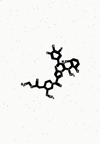 CCOC(=O)CC1CCN(C(=O)c2cc3nc(-c4cc(F)c(Cl)c(F)c4)cc(N(C)c4c(C)cccc4Cl)n3n2)CC1OC